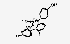 CCc1ccc(C2C(F)=CC=CC2(C(=N)NO)C(=O)N2CCC(O)CC2)cc1